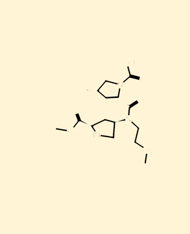 COCCN(C(=O)[C@@H]1C[C@H](F)CN1C(=O)O)[C@H]1CN[C@@H](C(=O)OC)C1